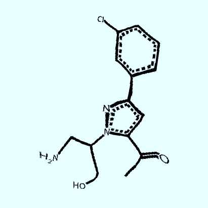 CC(=O)c1cc(-c2cccc(Cl)c2)nn1C(CN)CO